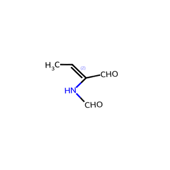 C/C=C(/C=O)NC=O